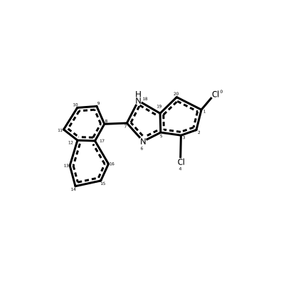 Clc1cc(Cl)c2nc(-c3cccc4ccccc34)[nH]c2c1